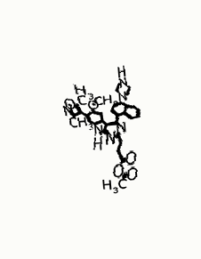 COc1cc2c(cc1-c1c(C)noc1C)[nH]c1nc(CCC(=O)OC(C)=O)nc(-c3ccc(N4CCNCC4)c4ccccc34)c12